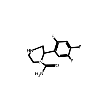 NC(=O)N1CCNCC1c1cc(F)c(F)cc1F